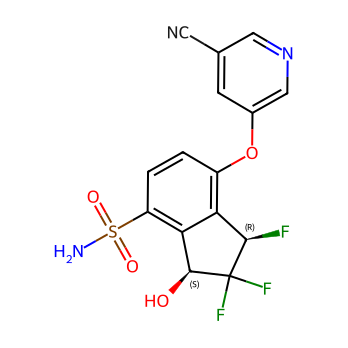 N#Cc1cncc(Oc2ccc(S(N)(=O)=O)c3c2[C@@H](F)C(F)(F)[C@H]3O)c1